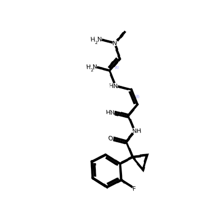 CN(N)/C=C(\N)N/C=C\C(=N)NC(=O)C1(c2ccccc2F)CC1